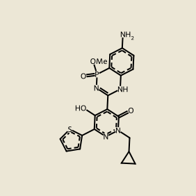 COP1(=O)N=C(c2c(O)c(-c3cccs3)nn(CC3CC3)c2=O)Nc2ccc(N)cc21